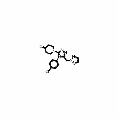 O=C1CCN(c2nnc(Cn3nccn3)n2-c2ccc(Cl)cc2)CC1